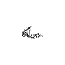 CCN1CCN(c2ccc(CNC[C@H]3CN(CCCC(C)C)CCO3)cc2)CC1